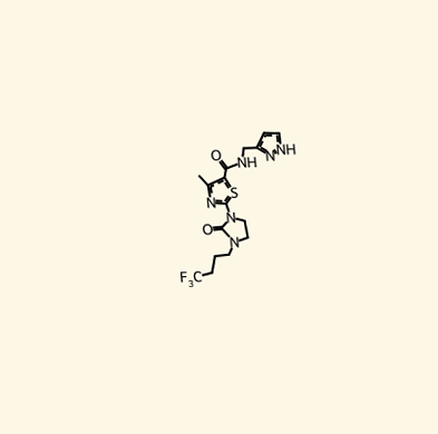 Cc1nc(N2CCN(CCCC(F)(F)F)C2=O)sc1C(=O)NCc1cc[nH]n1